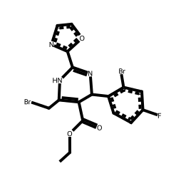 CCOC(=O)C1=C(CBr)NC(c2ncco2)=NC1c1ccc(F)cc1Br